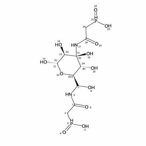 O=C(C[PH](=O)O)NC(O)[C@H]1O[C@H](O)[C@@H](O)[C@](O)(NC(=O)C[PH](=O)O)[C@@H]1O